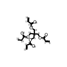 C=CC(=O)OCC(COC(=O)C=C)(COC(=O)C=C)COC(=O)CC